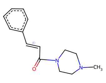 CN1CCN(C(=O)/C=C/c2ccccc2)CC1